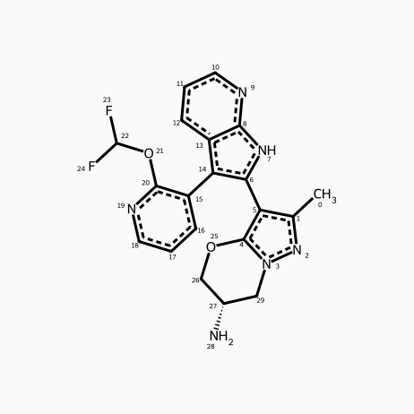 Cc1nn2c(c1-c1[nH]c3ncccc3c1-c1cccnc1OC(F)F)OC[C@@H](N)C2